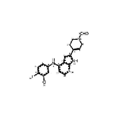 O=CN1CC=C(c2cc3c(Nc4ccc(F)c(Cl)c4)ccnc3[nH]2)CC1